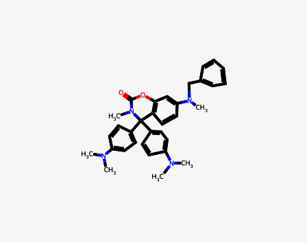 CN(C)c1ccc(C2(c3ccc(N(C)C)cc3)c3ccc(N(C)Cc4ccccc4)cc3OC(=O)N2C)cc1